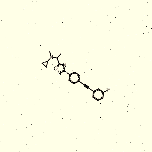 CC(c1nc(-c2ccc(C#Cc3cccc(F)c3)cc2)no1)N(C)C1CC1